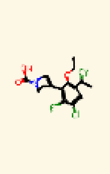 CCOc1c(C(C)Cl)cc(Cl)c(F)c1C1CN(C(=O)O)C1